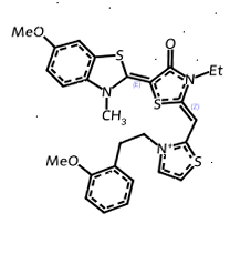 CCn1c(=O)/c(=C2\Sc3cc(OC)ccc3N2C)s/c1=C\c1scc[n+]1CCc1ccccc1OC